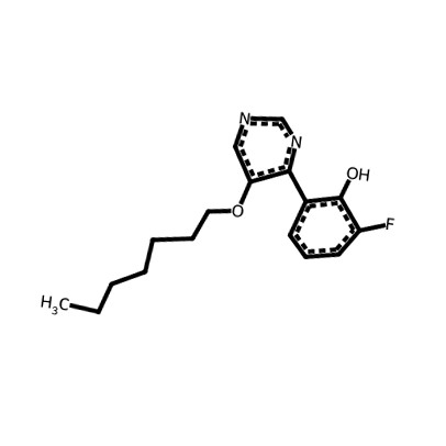 CCCCCCCOc1cncnc1-c1cccc(F)c1O